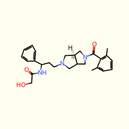 Cc1cccc(C)c1C(=O)N1CC2CN(CCC(NC(=O)CO)c3ccccc3)C[C@H]2C1